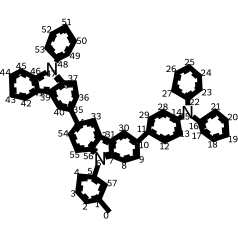 Cc1cccc(-n2c3ccc(-c4ccc(N(c5ccccc5)c5ccccc5)cc4)cc3c3cc(-c4ccc5c(c4)c4ccccc4n5-c4ccccc4)ccc32)c1